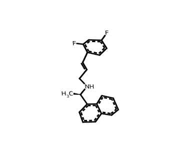 C[C@@H](NC/C=C/c1ccc(F)cc1F)c1cccc2ccccc12